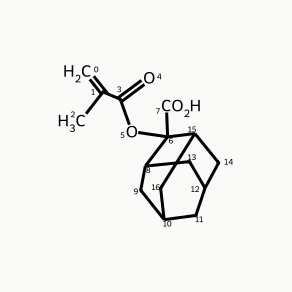 C=C(C)C(=O)OC1(C(=O)O)C2CC3CC(C2)CC1C3